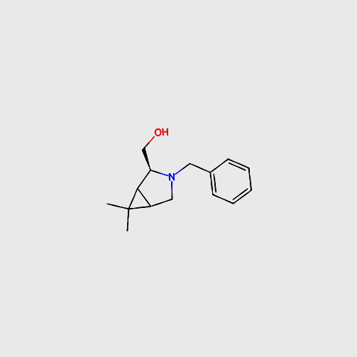 CC1(C)C2CN(Cc3ccccc3)[C@H](CO)C21